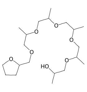 CC(O)COC(C)COC(C)COC(C)COC(C)COCC1CCCO1